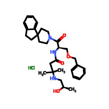 C[C@@H](O)CNC(C)(C)CC(=O)N[C@H](COCc1ccccc1)C(=O)N1CCC2(CCc3ccccc32)CC1.Cl